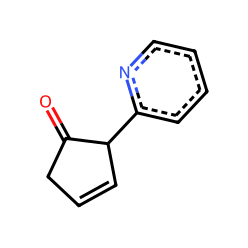 O=C1CC=CC1c1ccccn1